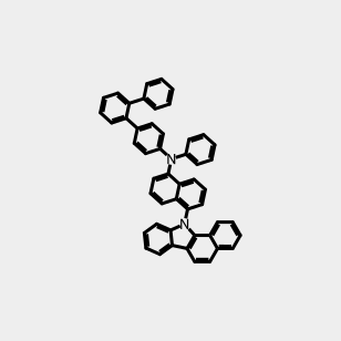 c1ccc(-c2ccccc2-c2ccc(N(c3ccccc3)c3cccc4c(-n5c6ccccc6c6ccc7ccccc7c65)cccc34)cc2)cc1